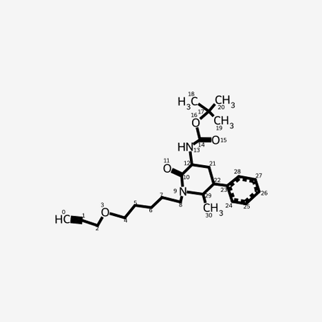 C#CCOCCCCCN1C(=O)C(NC(=O)OC(C)(C)C)CC(c2ccccc2)C1C